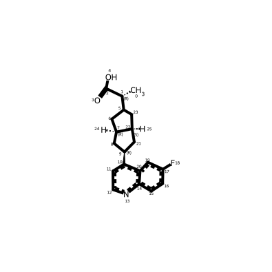 C[C@@H](C(=O)O)C1C[C@@H]2C[C@H](c3ccnc4ccc(F)cc34)C[C@@H]2C1